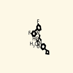 CS(=O)(=O)N(CC(O)Cn1c2ccc(F)cc2c2cc(F)ccc21)c1ccc(C2CCC2)cc1